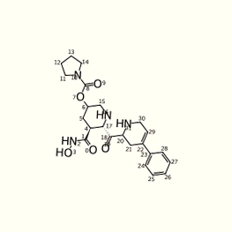 O=C(NO)[C@H]1CC(OC(=O)N2CCCC2)CN[C@@H]1C(=O)C1CC(c2ccccc2)=CCN1